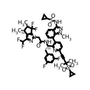 C[C@@H]1c2c(C(F)F)nn(CC(=O)N[C@@H](Cc3cc(F)cc(F)c3)c3nc(C#CC(C)(C)S(=O)(=O)C4CC4)ccc3-c3cccc4c(NS(=O)(=O)C5CC5)nn(C)c34)c2C(F)(F)[C@@H]1C